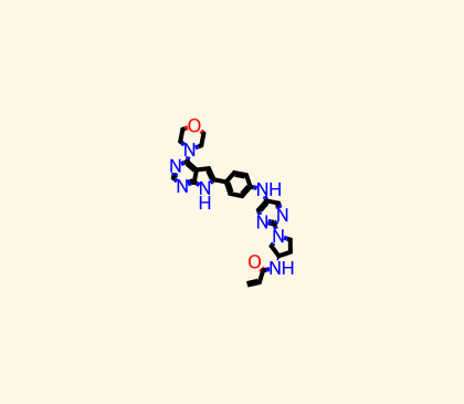 C=CC(=O)N[C@H]1CCN(c2ncc(Nc3ccc(-c4cc5c(N6CCOCC6)ncnc5[nH]4)cc3)cn2)C1